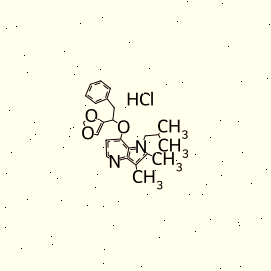 Cc1c(C)n(CC(C)C)c2c(OC(Cc3ccccc3)C3=COCO3)ccnc12.Cl